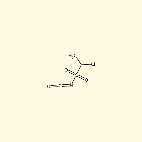 CC(Cl)S(=O)(=O)N=C=O